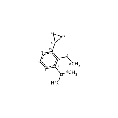 CCc1c([C](C)C)cccc1C1CC1